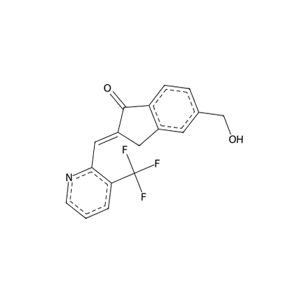 O=C1/C(=C/c2ncccc2C(F)(F)F)Cc2cc(CO)ccc21